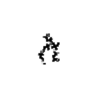 CCC(COC(=O)CC(C)=O)(COC(=O)CC(C)=O)COC(C)(C)CCOC(C)(C)CCOC